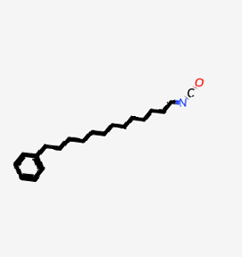 O=C=N[CH]CCCCCCCCCCCCc1ccccc1